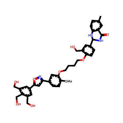 COc1ccc(-c2cc(-c3cc(CO)c(CO)c(CO)c3)on2)cc1OCCCCOc1ccc(C2NC(=O)c3cc(C)ccc3N2)cc1CO